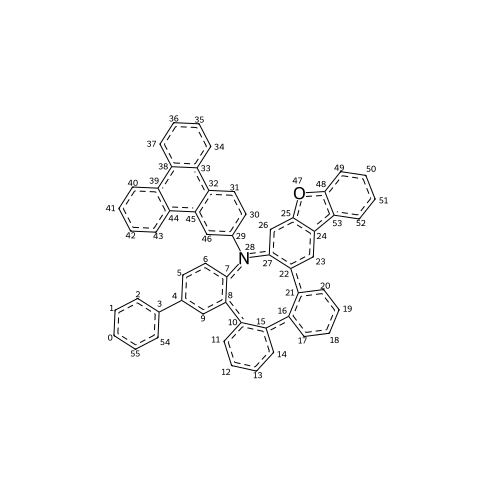 c1ccc(-c2ccc3c(c2)c2ccccc2c2ccccc2c2cc4c(cc2n3-c2ccc3c5ccccc5c5ccccc5c3c2)oc2ccccc24)cc1